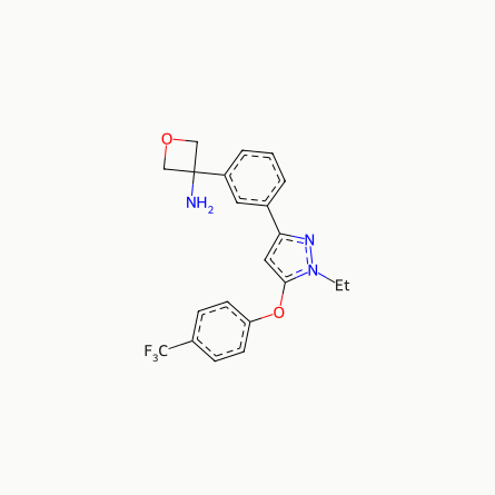 CCn1nc(-c2cccc(C3(N)COC3)c2)cc1Oc1ccc(C(F)(F)F)cc1